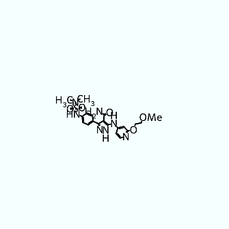 COCCOc1cc(Nc2[nH]nc(-c3ccc(NS(=O)(=O)N(C)C)cc3)c2C(N)=O)ccn1